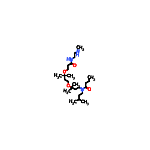 CCCC(=O)N(CCC(C)C)CCC(C)(C)OCCC(C)(C)OCCC(=O)NCCNC